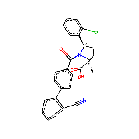 C[C@@]1(C(=O)O)CC[C@H](c2ccccc2Cl)N1C(=O)c1ccc(-c2ccccc2C#N)cc1